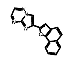 c1ccc2c(c1)ccc1cc(-c3cn4nccnc4n3)oc12